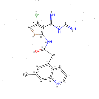 N=CNC(=N)c1c(Br)csc1NC(=O)Cc1cc(C(F)(F)F)cc2ncccc12